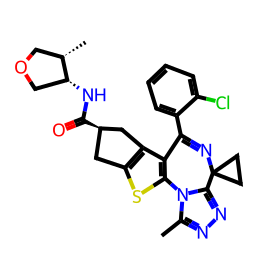 Cc1nnc2n1-c1sc3c(c1C(c1ccccc1Cl)=NC21CC1)C[C@H](C(=O)N[C@@H]1COC[C@@H]1C)C3